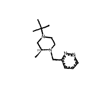 C[C@H]1CN(C(C)(C)C)CCN1Cc1cccnn1